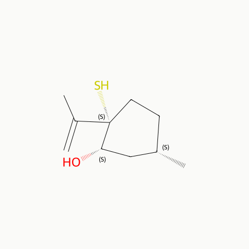 C=C(C)[C@@]1(S)CC[C@H](C)C[C@@H]1O